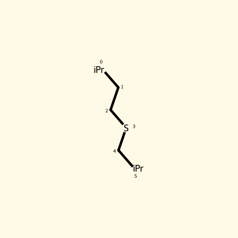 CC(C)CCSCC(C)C